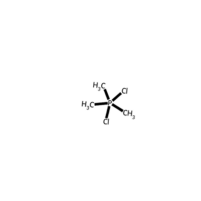 CP(C)(C)(Cl)Cl